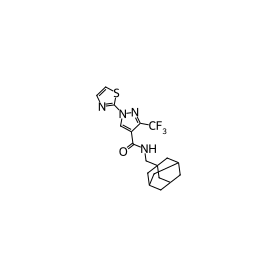 O=C(NCC12CC3CC(CC(C3)C1)C2)c1cn(-c2nccs2)nc1C(F)(F)F